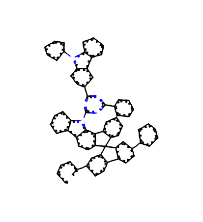 c1ccc(-c2ccc3c(c2)C2(c4cc(-c5ccccc5)ccc4-3)c3ccccc3-c3c2ccc2c4ccccc4n(-c4nc(-c5ccccc5)nc(-c5ccc6c(c5)c5ccccc5n6-c5ccccc5)n4)c32)cc1